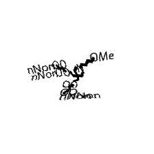 CCCCCCCCCOC(OCCCCCCCCC)C(=O)OCCC1(CCOC(=O)C(OCCCCCCCCC)OCCCCCCCCC)CCN(CCCCOC)CC1